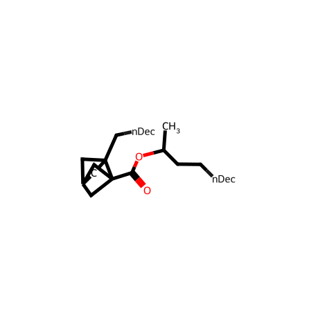 CCCCCCCCCCCCC(C)OC(=O)C12CC3(CC1(CCCCCCCCCCC)C3)C2